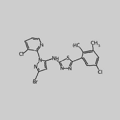 [CH]c1c(C)cc(Cl)cc1-c1nnc(Nc2cc(Br)nn2-c2ncccc2Cl)s1